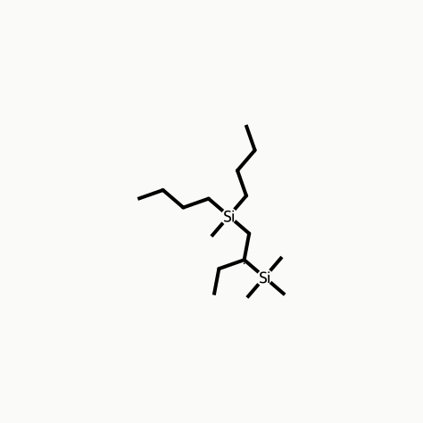 CCCC[Si](C)(CCCC)C[C](CC)[Si](C)(C)C